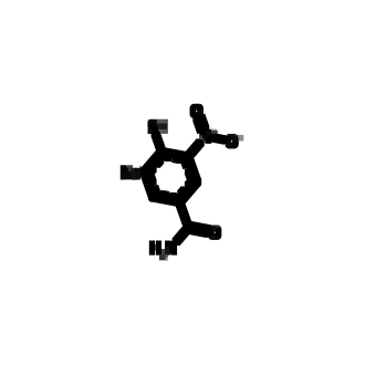 NC(=O)c1ccc(S)c([N+](=O)[O-])c1.[Na+]